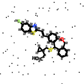 O=C(O)CC1(CSC2c3ccccc3COc3ccc(C=Cc4nc5cc(F)ccc5s4)cc32)CC1